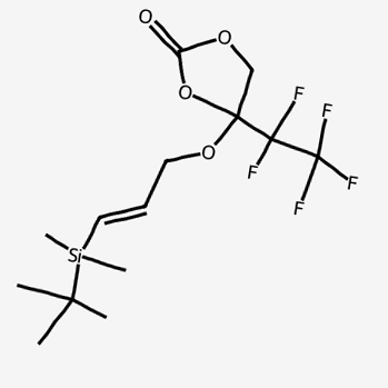 CC(C)(C)[Si](C)(C)C=CCOC1(C(F)(F)C(F)(F)F)COC(=O)O1